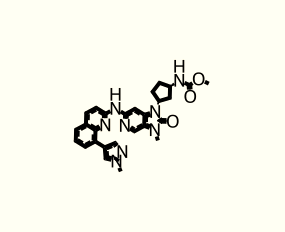 COC(=O)N[C@@H]1CC[C@@H](n2c(=O)n(C)c3cnc(Nc4ccc5cccc(-c6cnn(C)c6)c5n4)cc32)C1